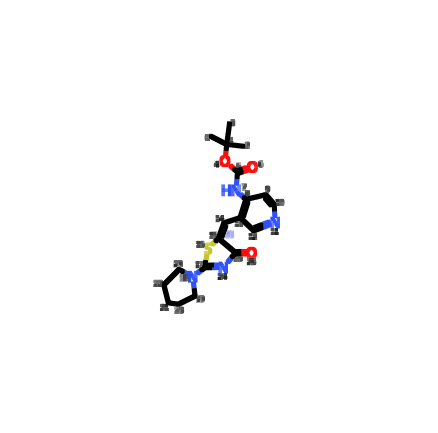 CC(C)(C)OC(=O)Nc1ccncc1/C=C1/SC(N2CCCCC2)=NC1=O